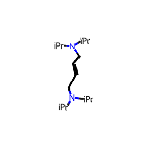 CC(C)N(CC=CCN(C(C)C)C(C)C)C(C)C